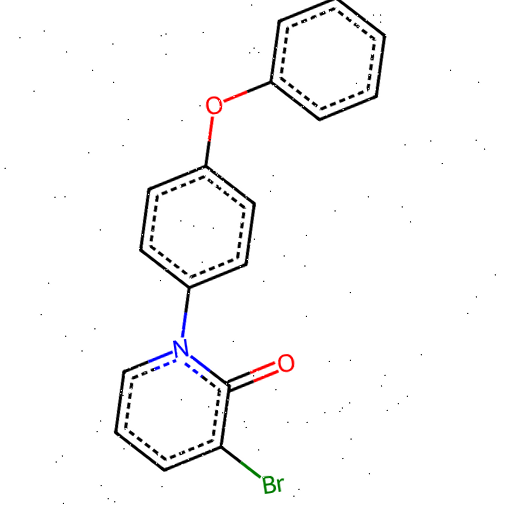 O=c1c(Br)cccn1-c1ccc(Oc2ccccc2)cc1